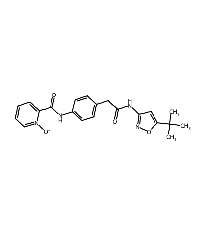 CC(C)(C)c1cc(NC(=O)Cc2ccc(NC(=O)c3cccc[n+]3[O-])cc2)no1